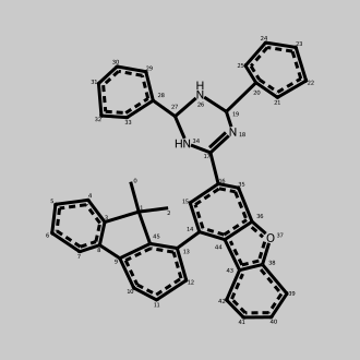 CC1(C)c2ccccc2-c2cccc(-c3cc(C4=NC(c5ccccc5)NC(c5ccccc5)N4)cc4oc5ccccc5c34)c21